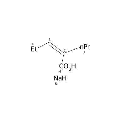 CCC=C(CCC)C(=O)O.[NaH]